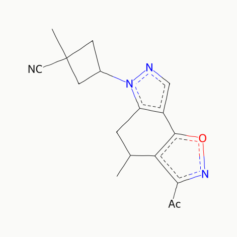 CC(=O)c1noc2c1C(C)Cc1c-2cnn1C1CC(C)(C#N)C1